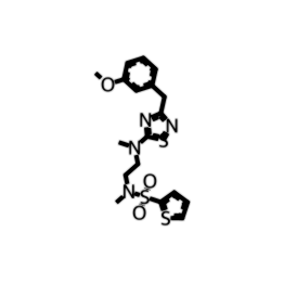 COc1cccc(Cc2nsc(N(C)CCN(C)S(=O)(=O)c3cccs3)n2)c1